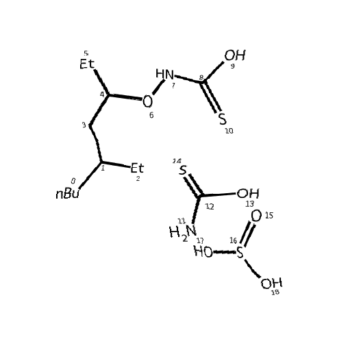 CCCCC(CC)CC(CC)ONC(O)=S.NC(O)=S.O=S(O)O